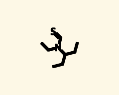 CCC(CC)N(C=S)CC